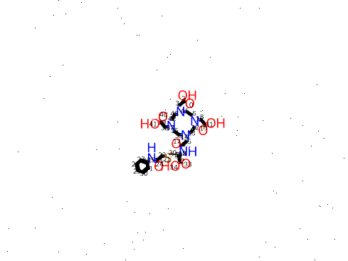 O=C(O)CN1CCN(CC(=O)O)CCN(CC(=O)N[C@@H](CSCC(=O)Nc2ccccc2)C(=O)O)CCN(CC(=O)O)CC1